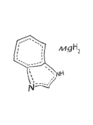 [MgH2].c1ccc2[nH]cnc2c1